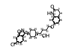 Cl.O=C1CCc2ccc(OCCCCN3CCN(c4noc5cc(Cl)ccc45)CC3)cc2N1